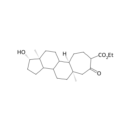 CCOC(=O)C1CC[C@@H]2C3CC[C@@]4(C)C(CC[C@@H]4O)C3CC[C@]2(C)CC1=O